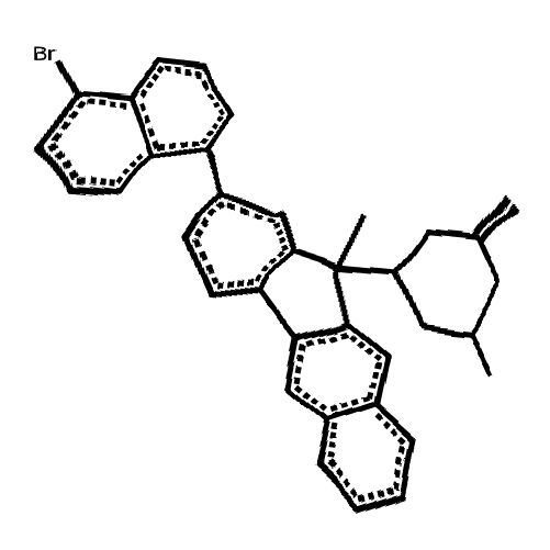 C=C1CC(C)CC(C2(C)c3cc(-c4cccc5c(Br)cccc45)ccc3-c3cc4ccccc4cc32)C1